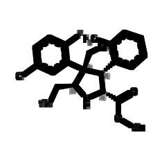 CC(C)(C)C[C@@H]1N[C@@H](C(=O)OC(C)(C)C)[C@@H](c2ccccc2C(F)(F)F)[C@@]1(CN)c1cc(Cl)ccc1F